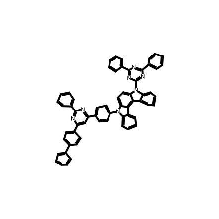 c1ccc(-c2ccc(-c3cc(-c4ccc(-n5c6ccccc6c6c7c8ccccc8n(-c8nc(-c9ccccc9)nc(-c9ccccc9)n8)c7ccc65)cc4)nc(-c4ccccc4)n3)cc2)cc1